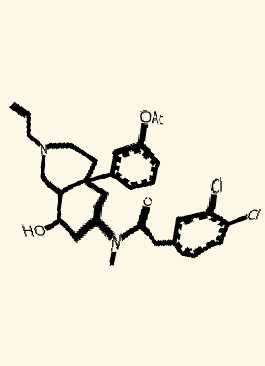 C=CCN1CCC2(c3cccc(OC(C)=O)c3)CC(N(C)C(=O)Cc3ccc(Cl)c(Cl)c3)CC(O)C2C1